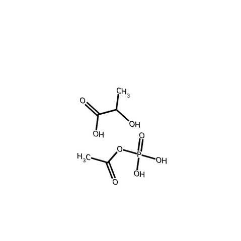 CC(=O)OP(=O)(O)O.CC(O)C(=O)O